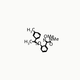 CNC(=O)C(=NOC)c1ccccc1ON=C(C)c1cccc(C)c1